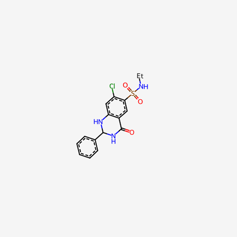 CCNS(=O)(=O)c1cc2c(cc1Cl)NC(c1ccccc1)NC2=O